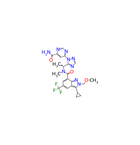 COCn1nc2c(C(=O)N(C)[C@@H](C)c3ncnn3-c3cc(C(N)=O)ncn3)cc(C(F)(F)F)cc2c1C1CC1